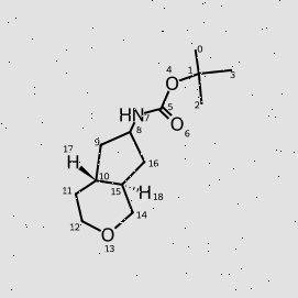 CC(C)(C)OC(=O)NC1C[C@H]2CCOC[C@@H]2C1